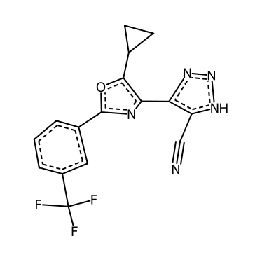 N#Cc1[nH]nnc1-c1nc(-c2cccc(C(F)(F)F)c2)oc1C1CC1